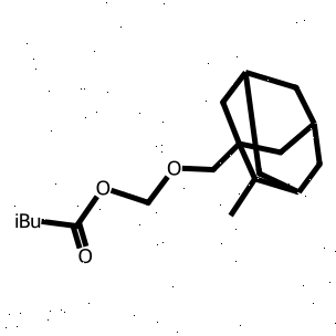 CCC(C)C(=O)OCOCC12CC3CC(CC(C3)C1C)C2